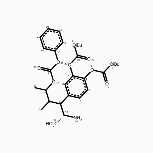 CC(C)COC(=O)Oc1ccc(C(C(C)C(C)OC(=O)Oc2ccccc2)[C@H](N)C(=O)O)cc1OC(=O)OCC(C)C